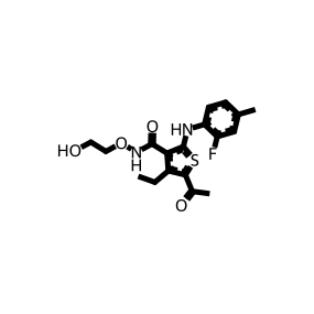 CCc1c(C(C)=O)sc(Nc2ccc(C)cc2F)c1C(=O)NOCCO